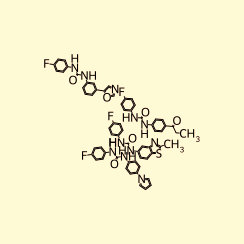 CCC(=O)c1ccc(NC(=O)Nc2ccc(F)cc2)cc1.Cc1nc2cc(NC(=O)Nc3ccc(F)cc3)ccc2s1.O=C(Nc1ccc(F)cc1)Nc1ccc(-n2cccc2)cc1.O=C(Nc1ccc(F)cc1)Nc1cccc(-c2cnco2)c1